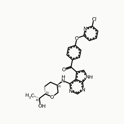 C[C@@H](O)[C@@H]1CC[C@@H](Nc2ncnc3[nH]cc(C(=O)c4ccc(Oc5cccc(Cl)n5)cc4)c23)CO1